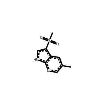 Cc1cnc2[nH]cc(S(C)(=O)=O)c2c1